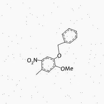 COc1cc(C)c([N+](=O)[O-])cc1OCc1ccccc1